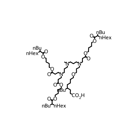 CCCCCCC(CCCC)C(=O)OCCCCOC(=O)CCN(CCCOCCCCC(CCCC)CCC(=O)O)CCCN(C)CCCN(CCC(=O)OCCCCOC(=O)C(CCCC)CCCCCC)CCC(=O)OCCCCOC(=O)C(CCCC)CCCCCC